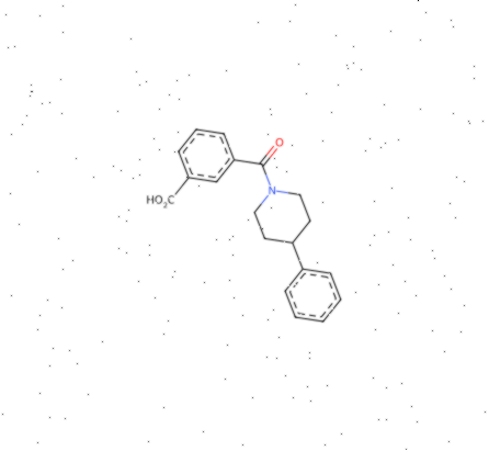 O=C(O)c1cccc(C(=O)N2CCC(c3ccccc3)CC2)c1